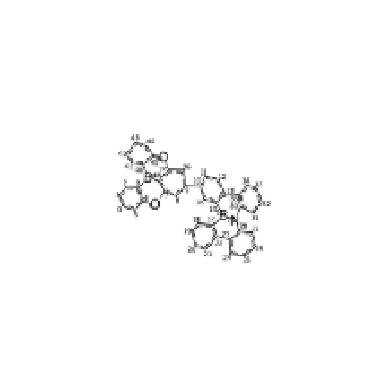 c1ccc2c(c1)Oc1cc(-c3ccc4c(c3)B3c5ccccc5-c5ccccc5N3c3ccccc3-4)cc3c1B2c1ccccc1O3